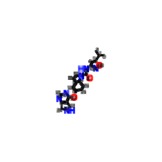 CC(C)c1cc(NC(=O)n2ccc3cc(Oc4ncnc5c4CNC5)ccc32)no1